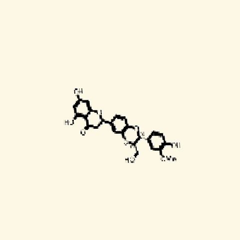 COc1cc([C@H]2Oc3ccc(C4CC(=O)c5c(O)cc(O)cc5O4)cc3O[C@@H]2CO)ccc1O